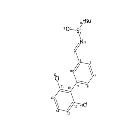 CC(C)(C)[S+]([O-])N=Cc1cccc(-c2c(Cl)cccc2Cl)c1